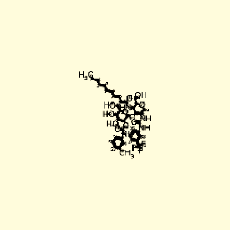 CCCCCCCCCCC(=O)N[C@H]1C(CO)OCC(NC(=O)Nc2cccc(C(F)(F)F)c2)[C@H]1O[C@H]1OC(CO)[C@H](O)[C@H](O)C1OC(=O)Nc1cccc(C)c1